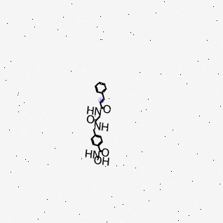 O=C(/C=C/c1ccccc1)NCC(=O)NCc1ccc(C(=O)NO)cc1